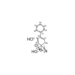 Cl.N#CC1(S(=O)(=O)O)C=CC(c2ccccc2)=CC1